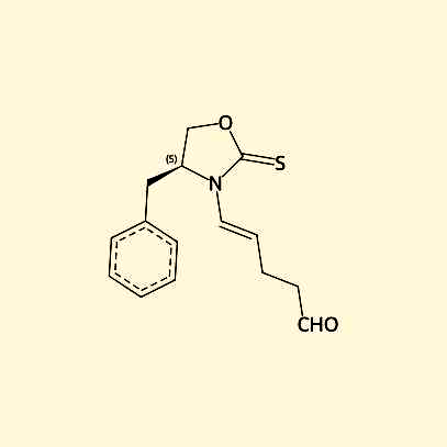 O=CCCC=CN1C(=S)OC[C@@H]1Cc1ccccc1